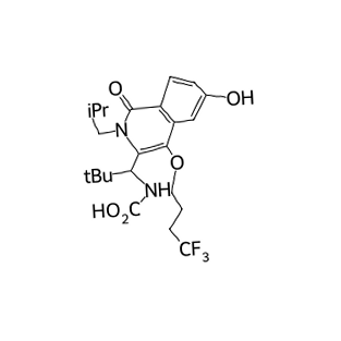 CC(C)Cn1c(C(NC(=O)O)C(C)(C)C)c(OCCCC(F)(F)F)c2cc(O)ccc2c1=O